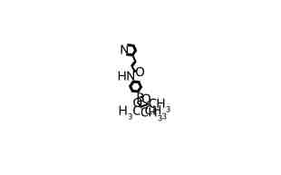 CC1(C)OB(c2ccc(NC(=O)C=Cc3cccnc3)cc2)OC1(C)C